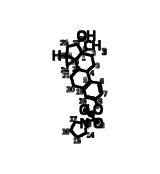 C[C@]12CCC3c4ccc(OS(=O)(=O)N5CCCC5)cc4CCC3[C@@]13C[C@H]3C[C@@H]2O